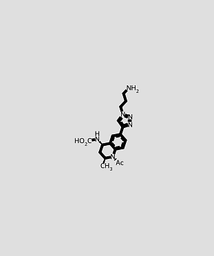 CC(=O)N1c2ccc(-c3cn(CCCN)nn3)cc2[C@H](NC(=O)O)C[C@@H]1C